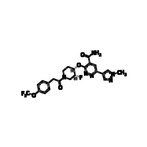 Cn1cc(-c2cc(C(N)=O)c(O[C@H]3CCN(C(=O)Cc4ccc(OC(F)(F)F)cc4)C[C@H]3F)nn2)cn1